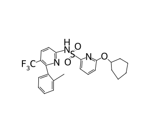 Cc1ccccc1-c1nc(NS(=O)(=O)c2cccc(OC3CCCCC3)n2)ccc1C(F)(F)F